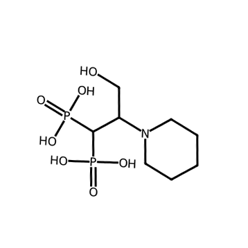 O=P(O)(O)C(C(CO)N1CCCCC1)P(=O)(O)O